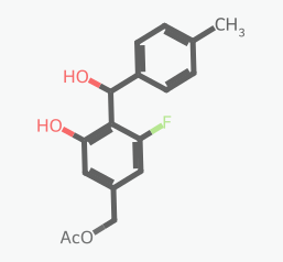 CC(=O)OCc1cc(O)c(C(O)c2ccc(C)cc2)c(F)c1